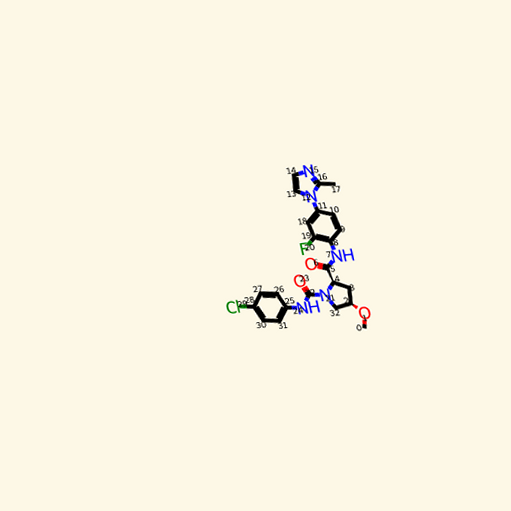 CO[C@@H]1C[C@H](C(=O)Nc2ccc(-n3ccnc3C)cc2F)N(C(=O)Nc2ccc(Cl)cc2)C1